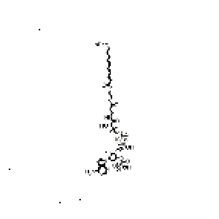 CCCCCCCCCCCCCC=CC=CC=CC(=O)SCCNC(=O)CCNC(=O)[C@H](O)C(C)(C)COP(=O)(O)OP(=O)(O)OC[C@H]1O[C@@H](n2cnc3c(N)ncnc32)[C@H](O)[C@@H]1OP(=O)(O)O